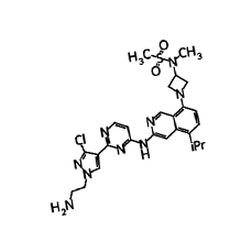 CC(C)c1ccc(N2CC(N(C)S(C)(=O)=O)C2)c2cnc(Nc3ccnc(-c4cn(CCN)nc4Cl)n3)cc12